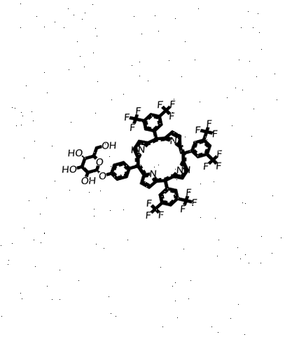 OCC1O[C@@H](Oc2ccc(-c3c4nc(c(-c5cc(C(F)(F)F)cc(C(F)(F)F)c5)c5ccc([nH]5)c(-c5cc(C(F)(F)F)cc(C(F)(F)F)c5)c5nc(c(-c6cc(C(F)(F)F)cc(C(F)(F)F)c6)c6ccc3[nH]6)C=C5)C=C4)cc2)C(O)C(O)[C@@H]1O